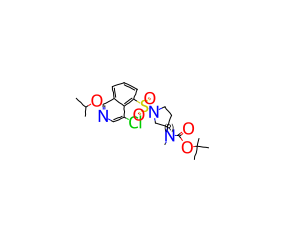 CC(C)Oc1ncc(Cl)c2c(S(=O)(=O)N3CC[C@@H](N(C)C(=O)OC(C)(C)C)C3)cccc12